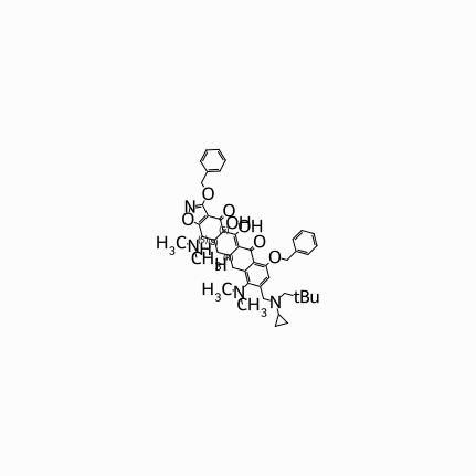 CN(C)c1c(CN(CC(C)(C)C)C2CC2)cc(OCc2ccccc2)c2c1C[C@H]1C[C@H]3[C@H](N(C)C)c4onc(OCc5ccccc5)c4C(=O)[C@@]3(O)C(O)=C1C2=O